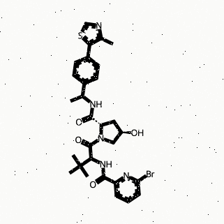 Cc1ncsc1-c1ccc(C(C)NC(=O)[C@@H]2C[C@@H](O)CN2C(=O)C(NC(=O)c2cccc(Br)n2)C(C)(C)C)cc1